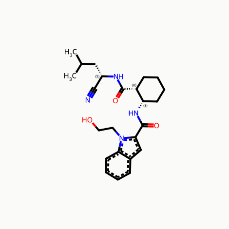 CC(C)C[C@@H](C#N)NC(=O)[C@@H]1CCCC[C@@H]1NC(=O)c1cc2ccccc2n1CCO